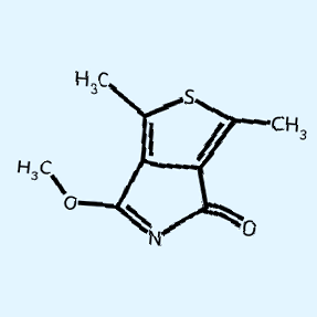 COC1=NC(=O)c2c(C)sc(C)c21